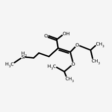 C[SiH2]CCCC(C(=O)O)=C(OC(C)C)OC(C)C